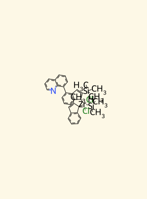 CC1=Cc2ccccc2[CH]1[Zr]([Cl])([Cl])([CH]1C([Si](C)(C)C)=Cc2c(-c3cccc4cccnc34)cccc21)[SiH](C)C